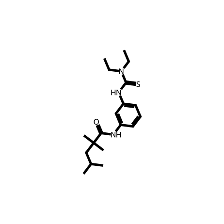 CCN(CC)C(=S)Nc1cccc(NC(=O)C(C)(C)CC(C)C)c1